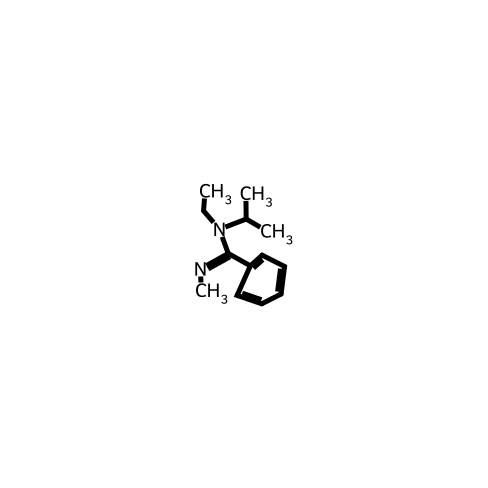 CCN(/C(=N/C)c1ccccc1)C(C)C